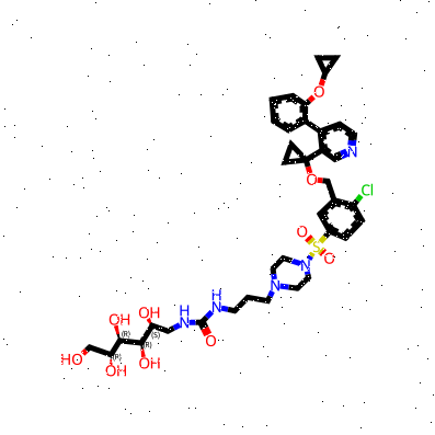 O=C(NCCCN1CCN(S(=O)(=O)c2ccc(Cl)c(COC3(c4cnccc4-c4ccccc4OC4CC4)CC3)c2)CC1)NC[C@H](O)[C@@H](O)[C@H](O)[C@H](O)CO